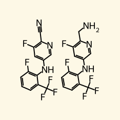 N#Cc1ncc(Nc2c(F)cccc2C(F)(F)F)cc1F.NCc1ncc(Nc2c(F)cccc2C(F)(F)F)cc1F